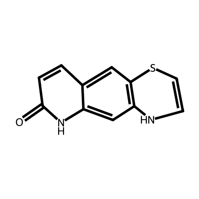 O=c1ccc2cc3c(cc2[nH]1)NC=CS3